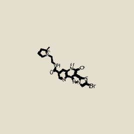 C[C@@H]1CCCN1CCNC(=O)c1cnc2c(c1)[nH]c(=O)c1c2nn2cc(Br)sc12